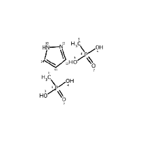 CP(=O)(O)O.CP(=O)(O)O.c1cn[nH]c1